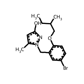 CCC(C)COc1ccc(Br)cc1Cn1nc(O)cc1C